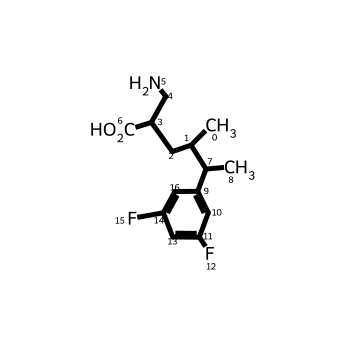 CC(CC(CN)C(=O)O)C(C)c1cc(F)cc(F)c1